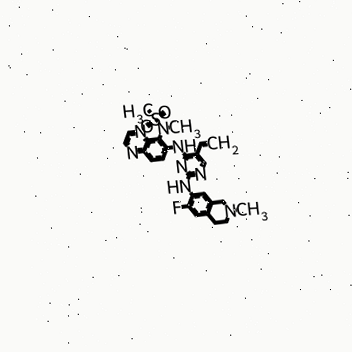 C=Cc1cnc(Nc2cc3c(cc2F)CCN(C)C3)nc1Nc1ccc2nccnc2c1N(C)S(C)(=O)=O